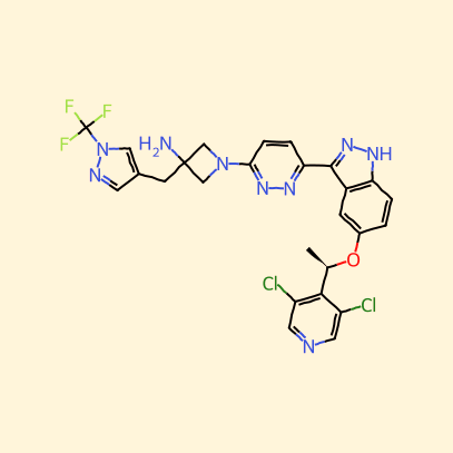 C[C@@H](Oc1ccc2[nH]nc(-c3ccc(N4CC(N)(Cc5cnn(C(F)(F)F)c5)C4)nn3)c2c1)c1c(Cl)cncc1Cl